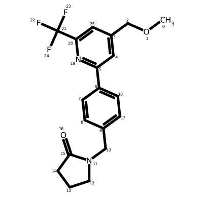 COCc1cc(-c2ccc(CN3CCCC3=O)cc2)nc(C(F)(F)F)c1